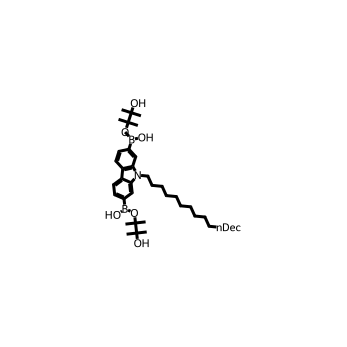 CCCCCCCCCCCCCCCCCCCCn1c2cc(B(O)OC(C)(C)C(C)(C)O)ccc2c2ccc(B(O)OC(C)(C)C(C)(C)O)cc21